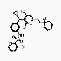 CCC1(CCc2cc(O)c(C(c3cccc(NS(=O)(=O)c4ncccc4O)c3)C3CC3)c(=O)o2)C=CC=CC1